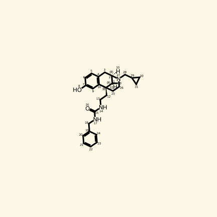 C[C@H]1[C@H]2Cc3ccc(O)cc3[C@@]1(CCNC(=O)NCc1ccccc1)CCN2CC1CC1